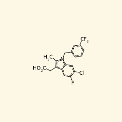 Cc1c(CC(=O)O)c2cc(F)c(Cl)cc2n1Cc1cccc(C(F)(F)F)c1